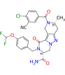 C[C@@H]1Cc2nn3c(c2CN1C(=O)c1ccc(Cl)c(C#N)c1)C(=O)N(Cc1ccc(OC(F)F)cc1)[C@@H](C(N)=O)C3